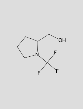 OCC1CCCN1C(F)(F)F